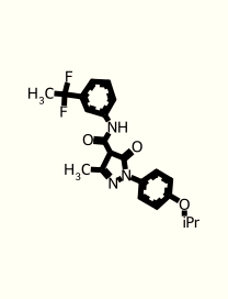 CC1=NN(c2ccc(OC(C)C)cc2)C(=O)C1C(=O)Nc1cccc(C(C)(F)F)c1